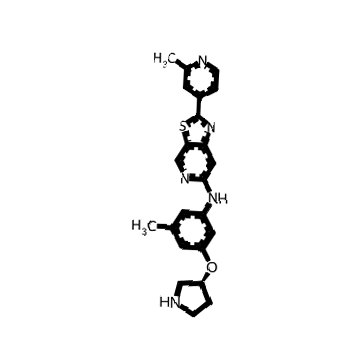 Cc1cc(Nc2cc3nc(-c4ccnc(C)c4)sc3cn2)cc(O[C@H]2CCNC2)c1